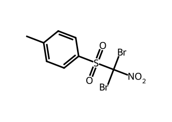 Cc1ccc(S(=O)(=O)C(Br)(Br)[N+](=O)[O-])cc1